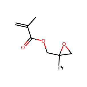 C=C(C)C(=O)OCC1(C(C)C)CO1